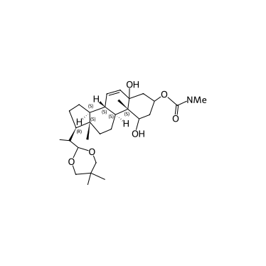 CNC(=O)OC1CC(O)[C@]2(C)[C@H]3CC[C@]4(C)[C@@H](C(C)C5OCC(C)(C)CO5)CC[C@H]4[C@@H]3C=CC2(O)C1